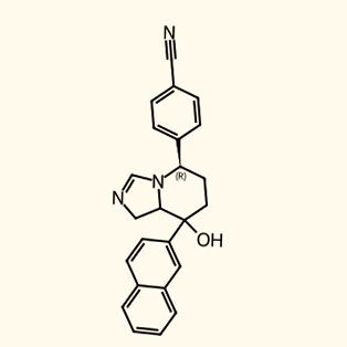 N#Cc1ccc([C@H]2CCC(O)(c3ccc4ccccc4c3)C3CN=CN32)cc1